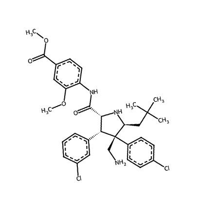 COC(=O)c1ccc(NC(=O)[C@@H]2N[C@@H](CC(C)(C)C)[C@](CN)(c3ccc(Cl)cc3)[C@@H]2c2cccc(Cl)c2)c(OC)c1